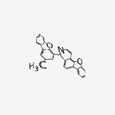 CC1C=c2c(oc3ccccc23)=C(c2nccc3c2ccc2c4ccccc4oc32)C1